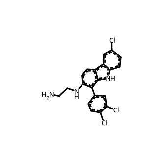 NCCNc1ccc2c([nH]c3ccc(Cl)cc32)c1-c1ccc(Cl)c(Cl)c1